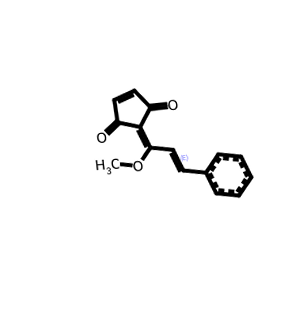 COC(/C=C/c1ccccc1)=C1C(=O)C=CC1=O